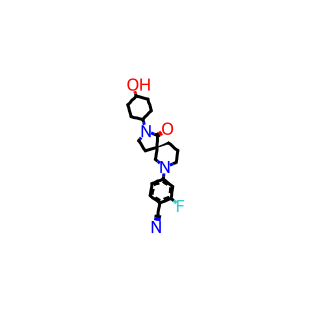 N#Cc1ccc(N2CCC[C@]3(CCN(C4CCC(O)CC4)C3=O)C2)cc1F